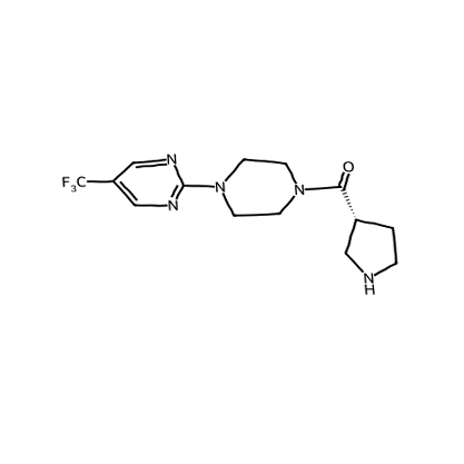 O=C([C@@H]1CCNC1)N1CCN(c2ncc(C(F)(F)F)cn2)CC1